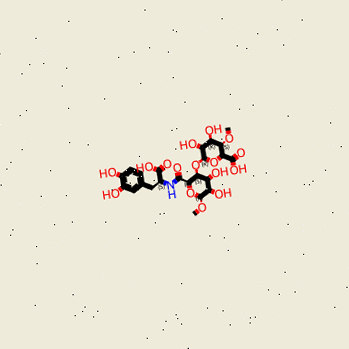 CO[C@@H]1O[C@@H](C(=O)N[C@@H](Cc2ccc(O)c(O)c2)C(=O)O)[C@@H](O[C@@H]2OC(C(=O)O)[C@@H](OC)[C@H](O)C2O)C(O)C1O